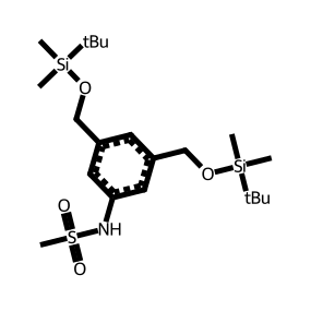 CC(C)(C)[Si](C)(C)OCc1cc(CO[Si](C)(C)C(C)(C)C)cc(NS(C)(=O)=O)c1